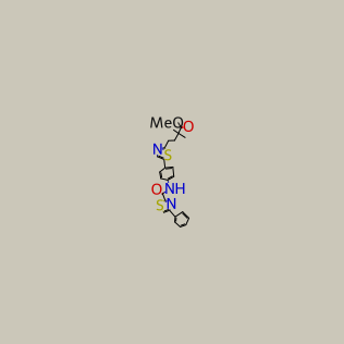 COC(=O)C(C)(C)CCc1ncc(-c2ccc(NC(=O)c3nc(-c4ccccc4)cs3)cc2)s1